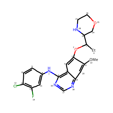 CCC(Oc1cc2c(Nc3ccc(Cl)c(F)c3)ncnc2cc1OC)C1COCCN1